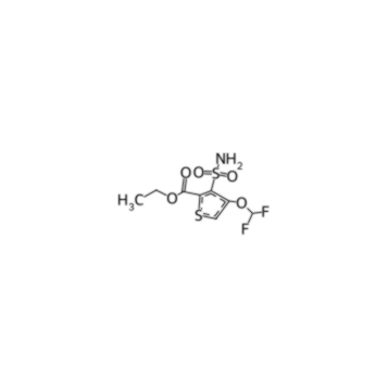 CCOC(=O)c1scc(OC(F)F)c1S(N)(=O)=O